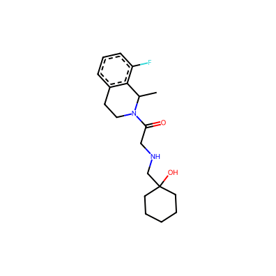 CC1c2c(F)cccc2CCN1C(=O)CNCC1(O)CCCCC1